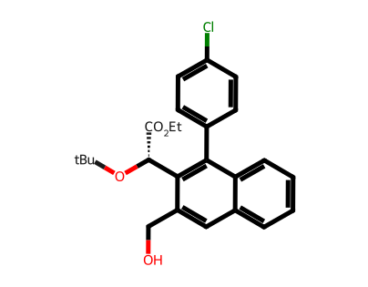 CCOC(=O)[C@@H](OC(C)(C)C)c1c(CO)cc2ccccc2c1-c1ccc(Cl)cc1